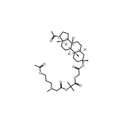 CC(=O)OCCCN(C)CC(=O)OC(C)(C)C(=O)OCC(=O)O[C@]1(C)CC[C@@]2(C)[C@@H](CC[C@@H]3[C@@H]2CC[C@]2(C)[C@@H](C(C)=O)CC[C@@H]32)C1